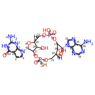 Nc1nc2c(ccn2[C@@H]2O[C@@H]3COP(=O)(O)OC4C(O)[C@@H](COP(=O)(S)OC2C3O)O[C@H]4n2cnc3c(N)ncnc32)c(=O)[nH]1